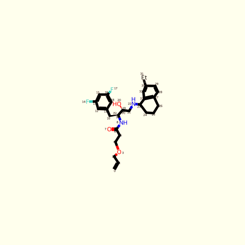 C=CCOCCC(=O)N[C@@H](Cc1cc(F)cc(F)c1)[C@H](O)CNC1CCCc2ccc(CC)cc21